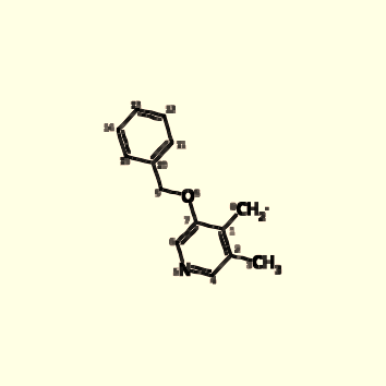 [CH2]c1c(C)cncc1OCc1ccccc1